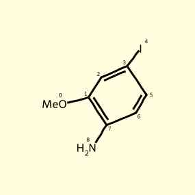 COc1cc(I)ccc1N